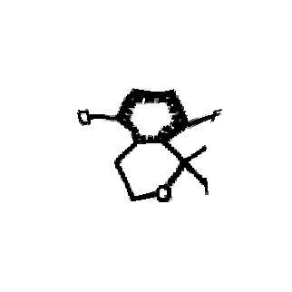 CC1(I)OCCc2c(Cl)ccc(F)c21